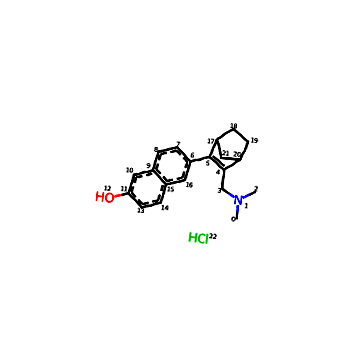 CN(C)CC1=C(c2ccc3cc(O)ccc3c2)C2CCC1C2.Cl